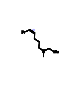 CC(C)/C=C\CCCN(C)CC(C)(C)C